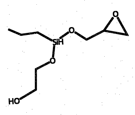 CCC[SiH](OCCO)OCC1CO1